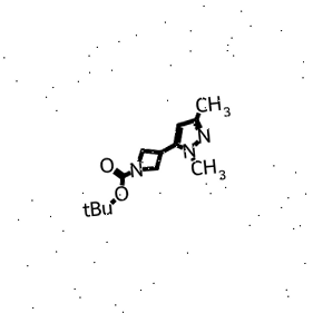 Cc1cc(C2CN(C(=O)OC(C)(C)C)C2)n(C)n1